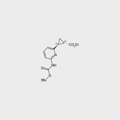 CCOC(=O)[C@H]1C[C@@H]1c1cccc(NC(=O)OC(C)(C)C)n1